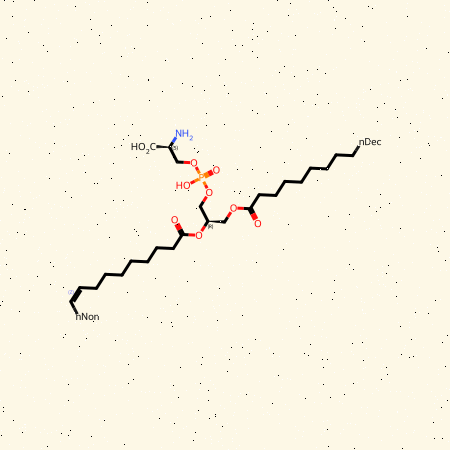 CCCCCCCCC/C=C\CCCCCCCC(=O)O[C@H](COC(=O)CCCCCCCCCCCCCCCCCC)COP(=O)(O)OC[C@H](N)C(=O)O